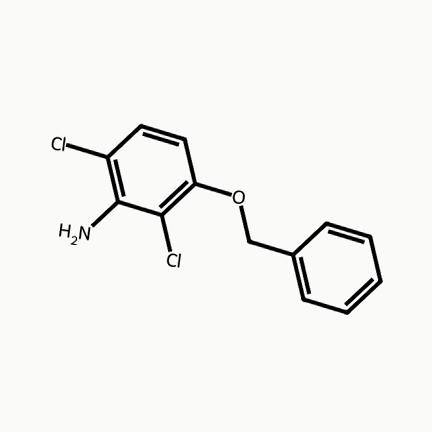 Nc1c(Cl)ccc(OCc2ccccc2)c1Cl